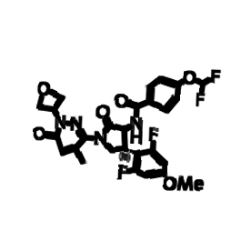 COc1cc(F)c([C@@H]2CN(c3nn(C4COC4)c(=O)cc3C)C(=O)C2NC(=O)c2ccc(OC(F)F)cc2)c(F)c1